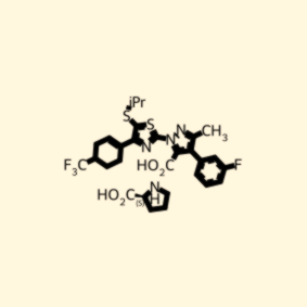 Cc1nn(-c2nc(C3=CCC(C(F)(F)F)CC3)c(SC(C)C)s2)c(C(=O)O)c1-c1cccc(F)c1.O=C(O)[C@@H]1CCCN1